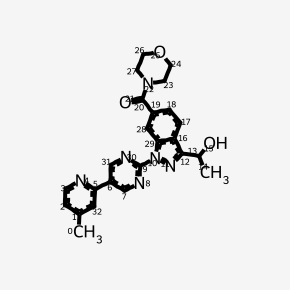 Cc1ccnc(-c2cnc(-n3nc(C(C)O)c4ccc(C(=O)N5CCOCC5)cc43)nc2)c1